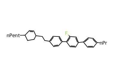 CCCCCC1C=CC(CCc2ccc(-c3ccc(-c4ccc(CCC)cc4)cc3F)cc2)CC1